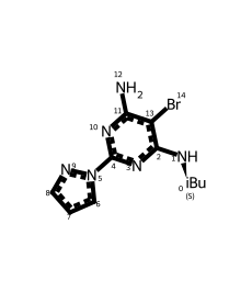 CC[C@H](C)Nc1nc(-n2cccn2)nc(N)c1Br